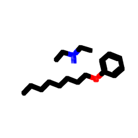 CCCCCCCCOc1ccccc1.CCNCC